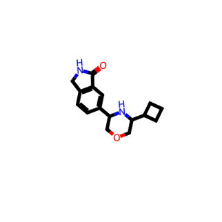 O=C1NCc2ccc(C3COCC(C4CCC4)N3)cc21